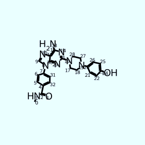 CNC(=O)c1ccc(-n2cnc3c(N)nc(N4CCN(c5ccc(O)cc5)CC4)nc32)cc1